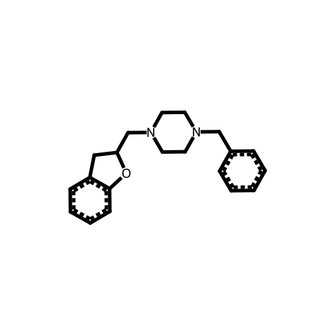 c1ccc(CN2CCN(CC3Cc4ccccc4O3)CC2)cc1